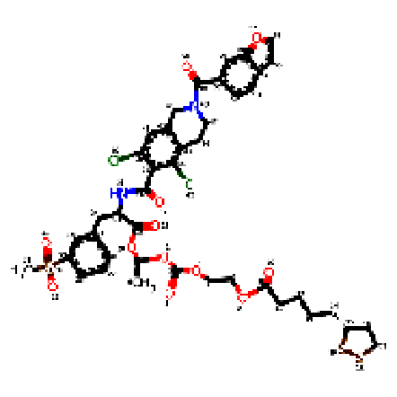 CC(OC(=O)OCCOC(=O)CCCC[C@@H]1CCSS1)OC(=O)C(Cc1cccc(S(C)(=O)=O)c1)NC(=O)c1c(Cl)cc2c(c1Cl)CCN(C(=O)c1ccc3ccoc3c1)C2